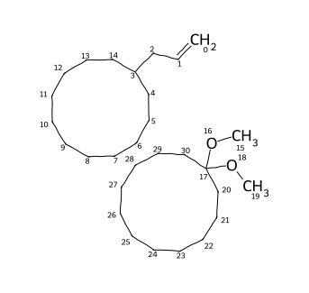 C=CCC1CCCCCCCCCCC1.COC1(OC)CCCCCCCCCCC1